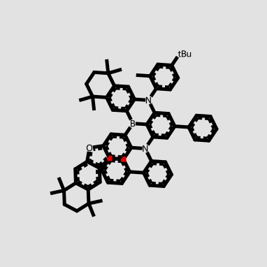 Cc1cc(C(C)(C)C)ccc1N1c2cc3c(cc2B2c4cc5oc6cc7c(cc6c5cc4N(c4ccccc4-c4ccccc4)c4cc(-c5ccccc5)cc1c42)C(C)(C)CCC7(C)C)C(C)(C)CCC3(C)C